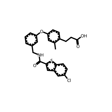 Cc1cc(Oc2cccc(CNC(=O)c3cc4cc(Cl)ccc4s3)c2)ccc1CCC(=O)O